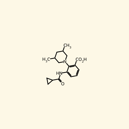 CC1CC(C)CN(c2c(NC(=O)C3CC3)cccc2C(=O)O)C1